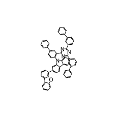 c1ccc(-c2cccc(-c3nc(-c4cccc(-c5ccccc5)c4)nc(-c4cc(-c5ccccc5)ccc4-n4c5ccccc5c5ccc(-c6cccc7c6oc6ccccc67)cc54)n3)c2)cc1